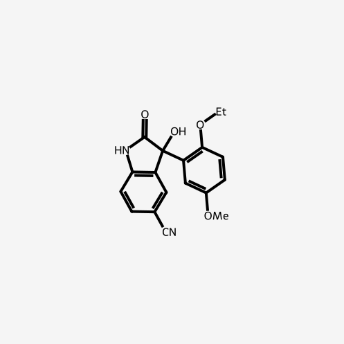 CCOc1ccc(OC)cc1C1(O)C(=O)Nc2ccc(C#N)cc21